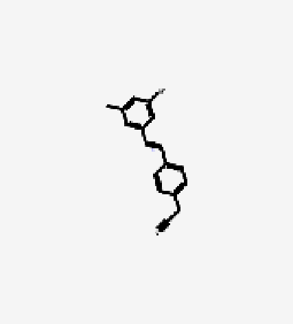 Cc1cc(Br)cc(/C=C/c2ccc(CC#N)cc2)c1